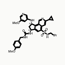 COc1ccc(CNC(=O)N[C@H]2C[C@H](Nc3cncc(OC)c3)c3c2cc(S(=O)(=O)NCC(C)C)c2cc(C4CC4)ncc32)cc1